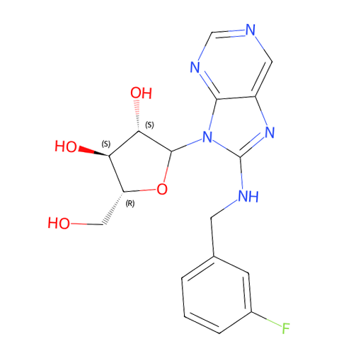 OC[C@H]1OC(n2c(NCc3cccc(F)c3)nc3cncnc32)[C@@H](O)[C@@H]1O